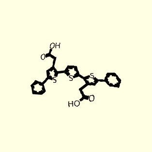 O=C(O)Cc1cc(-c2ccccc2)sc1-c1ccc(-c2sc(-c3ccccc3)cc2CC(=O)O)s1